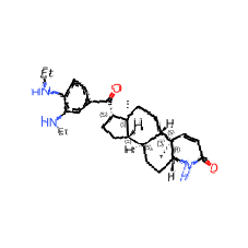 CCNc1ccc(C(=O)[C@H]2CC[C@H]3[C@@H]4CC[C@H]5NC(=O)C=C[C@]5(C)[C@H]4CC[C@]23C)cc1NCC